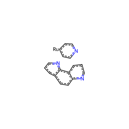 [Ru].c1ccncc1.c1cnc2c(c1)ccc1ncccc12